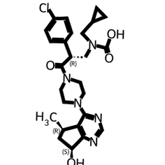 C[C@@H]1C[C@H](O)c2ncnc(N3CCN(C(=O)[C@@H](CN(CC4CC4)C(=O)O)c4ccc(Cl)cc4)CC3)c21